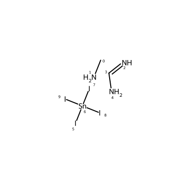 CN.N=CN.[I][Sn]([I])([I])[I]